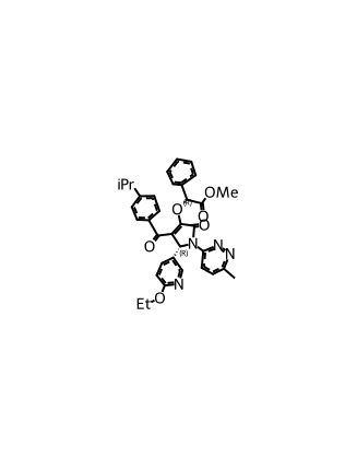 CCOc1ccc([C@@H]2C(C(=O)c3ccc(C(C)C)cc3)=C(O[C@@H](C(=O)OC)c3ccccc3)C(=O)N2c2ccc(C)nn2)cn1